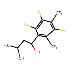 OC(CC(O)C(F)(F)F)c1c(F)c(F)c(C(F)(F)F)c(F)c1C(F)(F)F